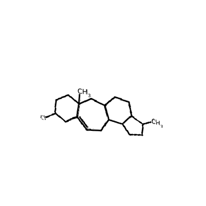 CC1CCC2C1CCC1CC3(C)CCC(Cl)CC3=CCC12